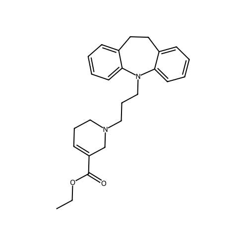 CCOC(=O)C1=CCCN(CCCN2c3ccccc3CCc3ccccc32)C1